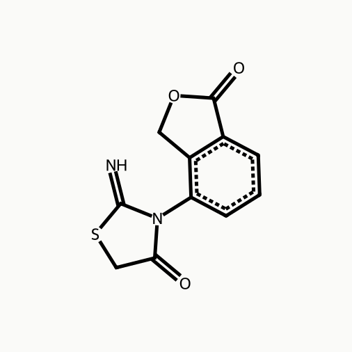 N=C1SCC(=O)N1c1cccc2c1COC2=O